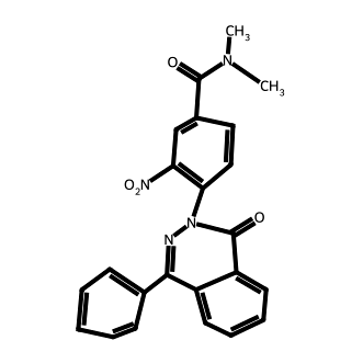 CN(C)C(=O)c1ccc(-n2nc(-c3ccccc3)c3ccccc3c2=O)c([N+](=O)[O-])c1